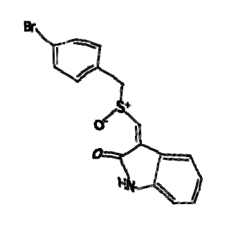 O=C1Nc2ccccc2C1=C[S+]([O-])Cc1ccc(Br)cc1